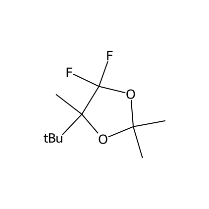 CC1(C)OC(F)(F)C(C)(C(C)(C)C)O1